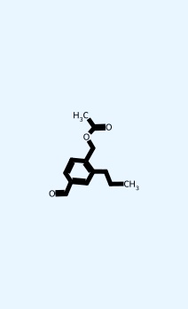 CCCc1cc(C=O)ccc1COC(C)=O